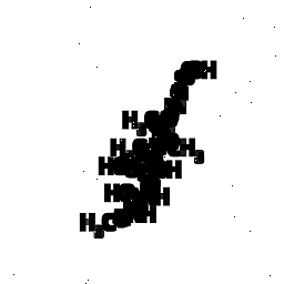 COc1cc(N=Nc2ccc(SOOO)cc2)ccc1N=Nc1cc(OC)c(N=Nc2c(SOOO)cc3cc(Nc4nc(O)nc(Nc5ccc(C)cc5)n4)ccc3c2O)cc1OC